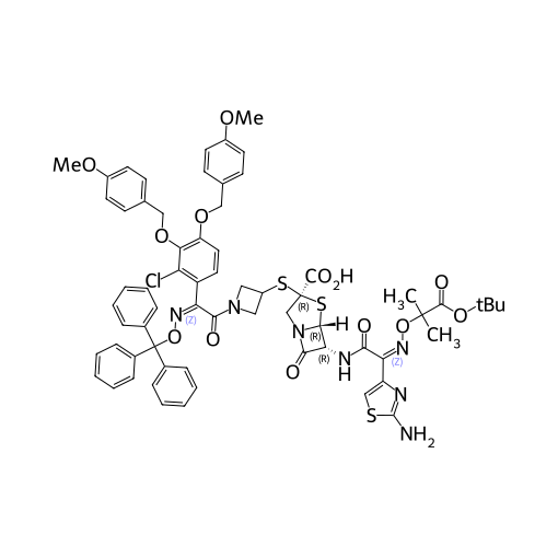 COc1ccc(COc2ccc(/C(=N/OC(c3ccccc3)(c3ccccc3)c3ccccc3)C(=O)N3CC(S[C@]4(C(=O)O)CN5C(=O)[C@@H](NC(=O)/C(=N\OC(C)(C)C(=O)OC(C)(C)C)c6csc(N)n6)[C@H]5S4)C3)c(Cl)c2OCc2ccc(OC)cc2)cc1